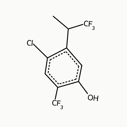 CC(c1cc(O)c(C(F)(F)F)cc1Cl)C(F)(F)F